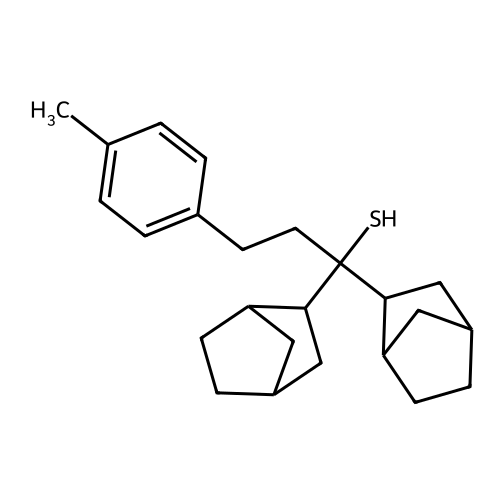 Cc1ccc(CCC(S)(C2CC3CCC2C3)C2CC3CCC2C3)cc1